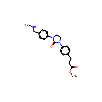 CNCc1ccc(N2CCN(c3ccc(CCC(=O)OC)cc3)C2=O)cc1